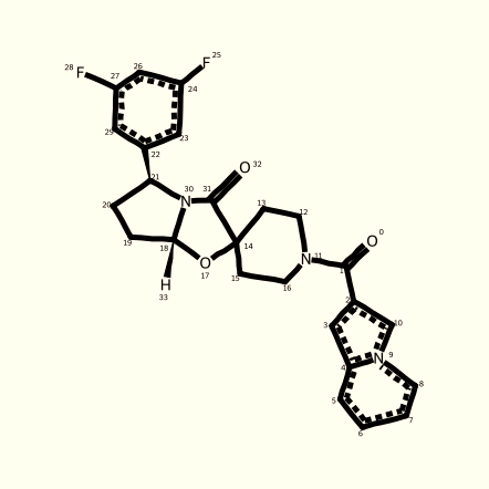 O=C(c1cc2ccccn2c1)N1CCC2(CC1)O[C@@H]1CC[C@@H](c3cc(F)cc(F)c3)N1C2=O